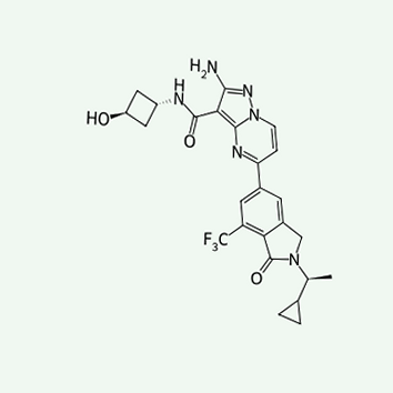 C[C@@H](C1CC1)N1Cc2cc(-c3ccn4nc(N)c(C(=O)N[C@H]5C[C@H](O)C5)c4n3)cc(C(F)(F)F)c2C1=O